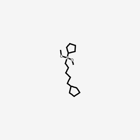 CO[Si](CCCCCC1CCCC1)(OC)C1CCCC1